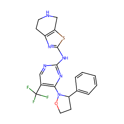 FC(F)(F)c1cnc(Nc2nc3c(s2)CNCC3)nc1N1OCCC1c1ccccc1